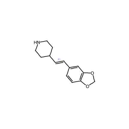 C(=C\C1CCNCC1)/c1ccc2c(c1)OCO2